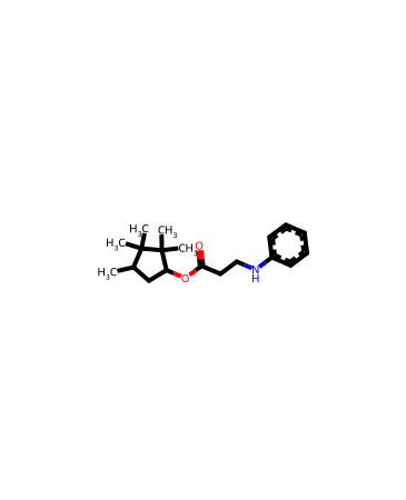 CC1CC(OC(=O)CCNc2ccccc2)C(C)(C)C1(C)C